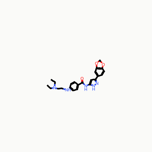 CCN(CC)CCNc1ccc(C(=O)Nc2cc(-c3ccc4c(c3)OCO4)n[nH]2)cc1